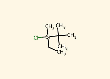 CC[Si](C)(Cl)C(C)(C)C